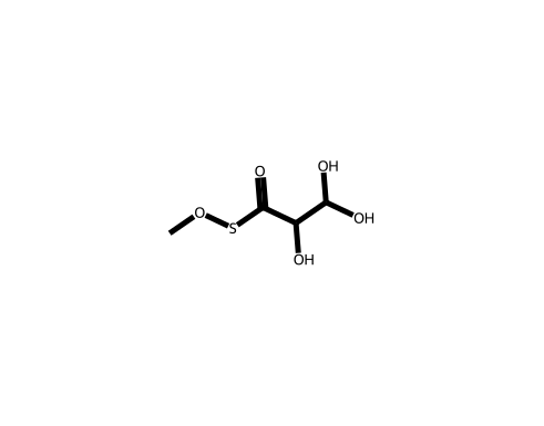 COSC(=O)C(O)C(O)O